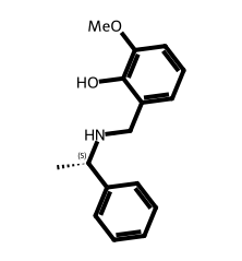 COc1cccc(CN[C@@H](C)c2ccccc2)c1O